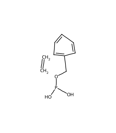 C=C.OP(O)OCc1ccccc1